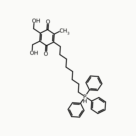 CC1=C(CCCCCCCC[PH](c2ccccc2)(c2ccccc2)c2ccccc2)C(=O)C(CO)=C(CO)C1=O